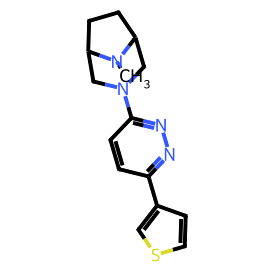 CN1C2CCC1CN(c1ccc(-c3ccsc3)nn1)C2